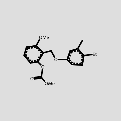 CCc1ccc(OCc2c(OC)cccc2OC(=O)OC)cc1C